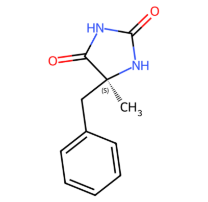 C[C@@]1(Cc2ccccc2)NC(=O)NC1=O